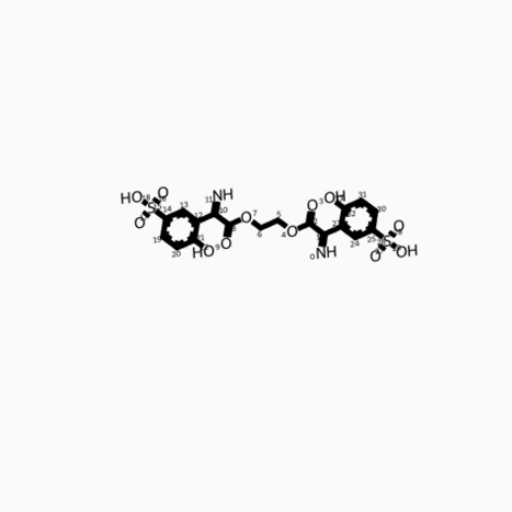 N=C(C(=O)OCCOC(=O)C(=N)c1cc(S(=O)(=O)O)ccc1O)c1cc(S(=O)(=O)O)ccc1O